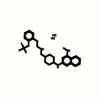 CNc1nc(NC2CCC(CNCCc3ccccc3OC(F)(F)F)CC2)nc2ccccc12.Cl.Cl